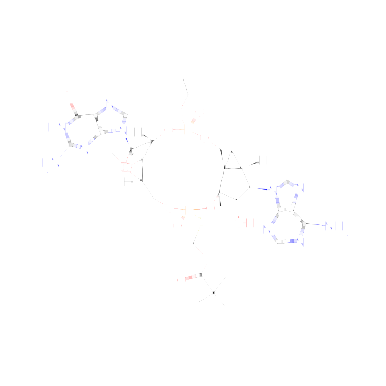 CCOP1(=O)OC[C@@]23C[C@@H]2[C@@H](n2cnc4c(N)ncnc42)[C@H](O)[C@@H]3OP(=O)(SCOC(=O)C(C)(C)C)OC[C@H]2O[C@@H](n3cnc4c(=O)[nH]c(N)nc43)[C@H](O1)[C@@H]2OC